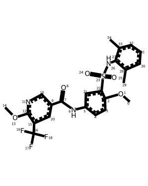 COc1ccc(NC(=O)c2cnc(OC)c(C(F)(F)F)c2)cc1S(=O)(=O)Nc1c(C)cccc1C